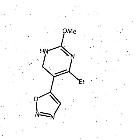 CCC1=C(c2cnno2)CNC(OC)=N1